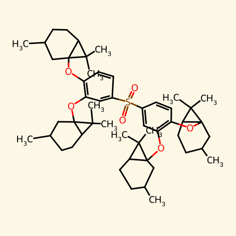 CC1CCC2C(C)(C)C2(Oc2ccc(S(=O)(=O)c3ccc(OC45CC(C)CCC4C5(C)C)c(OC45CC(C)CCC4C5(C)C)c3)cc2OC23CC(C)CCC2C3(C)C)C1